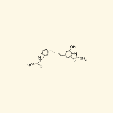 C#CC(=O)NCc1cccc(CC/C=C/c2cc(O)c3nc(N)sc3c2)c1